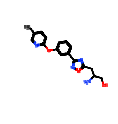 NC(CO)Cc1nc(-c2cccc(Oc3ccc(C(F)(F)F)cn3)c2)no1